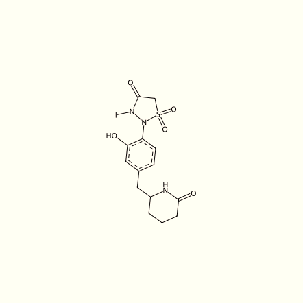 O=C1CCCC(Cc2ccc(N3N(I)C(=O)CS3(=O)=O)c(O)c2)N1